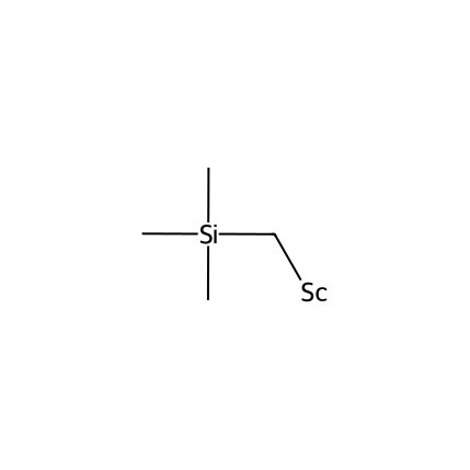 C[Si](C)(C)[CH2][Sc]